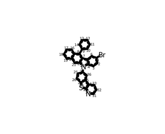 Brc1ccc2c(c1)c1c(-c3ccccc3)c3ccccc3cc1n2-c1ccc2sc3ncccc3c2c1